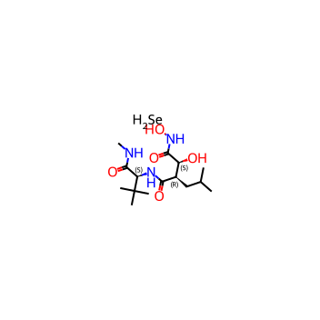 CNC(=O)[C@@H](NC(=O)[C@H](CC(C)C)[C@H](O)C(=O)NO)C(C)(C)C.[SeH2]